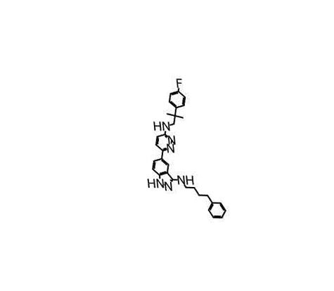 CC(C)(CNc1ccc(-c2ccc3[nH]nc(NCCCCc4ccccc4)c3c2)nn1)c1ccc(F)cc1